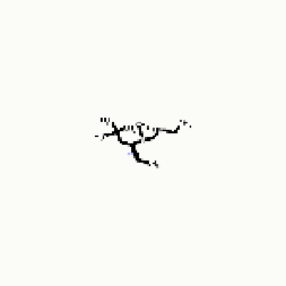 C/C=C(/CC(C)(C)C)N(C)CNCC